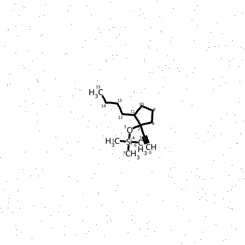 C#CC1(O[Si](C)(C)C)CCCC1CCCC